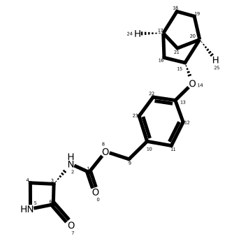 O=C(N[C@H]1CNC1=O)OCc1ccc(O[C@@H]2C[C@H]3CC[C@@H]2C3)cc1